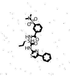 CCC[Si@H](NC(=O)c1cccc(S(=O)(=O)N(C)C)c1)C(=O)Nc1nc(-c2ccccc2)cs1